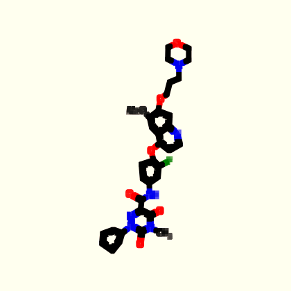 COc1cc2c(Oc3ccc(NC(=O)c4nn(-c5ccccc5)c(=O)n(C)c4=O)cc3F)ccnc2cc1OCCCN1CCOCC1